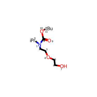 CC(C)N(CCOCCO)C(=O)OC(C)(C)C